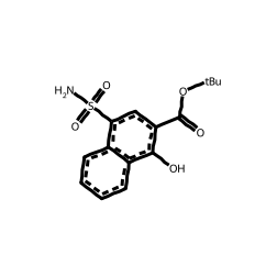 CC(C)(C)OC(=O)c1cc(S(N)(=O)=O)c2ccccc2c1O